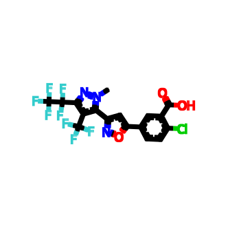 Cn1nc(C(F)(F)C(F)(F)F)c(C(F)(F)F)c1-c1cc(-c2ccc(Cl)c(C(=O)O)c2)on1